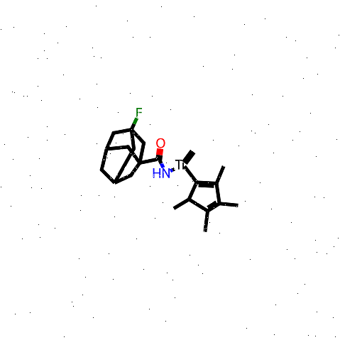 [CH2]=[Ti]([NH]C(=O)C12CC3CC(CC(F)(C3)C1)C2)[C]1=C(C)C(C)=C(C)C1C